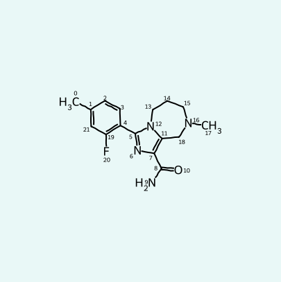 Cc1ccc(-c2nc(C(N)=O)c3n2CCCN(C)C3)c(F)c1